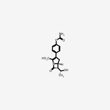 C[C@@H](O)[C@H]1C(=O)N2C(C(=O)O)=C(c3ccc(OC(N)=O)cc3)C[C@H]12